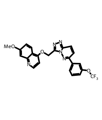 COc1ccc2c(OCc3nnc4ccc(-c5cccc(OC(F)(F)F)c5)nn34)ccnc2c1